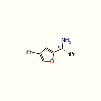 CC(C)c1coc([C@H](N)C(C)C)c1